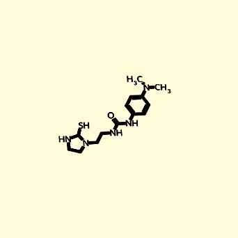 CN(C)c1ccc(NC(=O)NCCN2CCNC2S)cc1